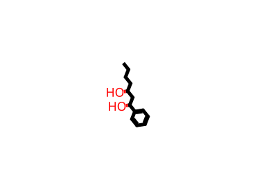 CCCCC(O)CC(O)c1ccccc1